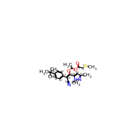 CSCC(=O)OC(C)O/C(=C(/C#N)c1ccc(C(C)(C)C)cc1)c1cc(C)nn1C